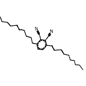 CCCCCCCCCCc1ccc(CCCCCCCCCC)c(C#N)c1C#N